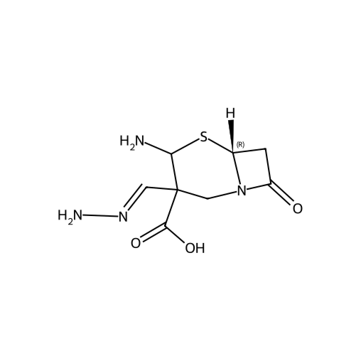 NN=CC1(C(=O)O)CN2C(=O)C[C@H]2SC1N